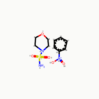 NS(=O)(=O)N1CCOCC1.O=[N+]([O-])c1ccccc1